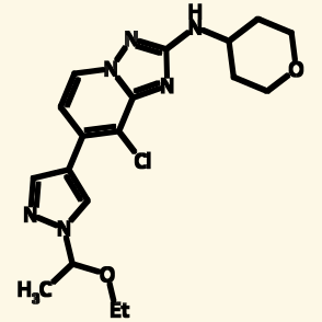 CCOC(C)n1cc(-c2ccn3nc(NC4CCOCC4)nc3c2Cl)cn1